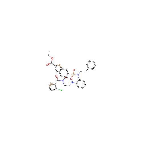 CCOC(=O)c1cc2ccc(S(=O)(=O)N(CCc3ccccc3)c3ccccc3N3CCN(C(=O)c4sccc4Br)CC3)cc2s1